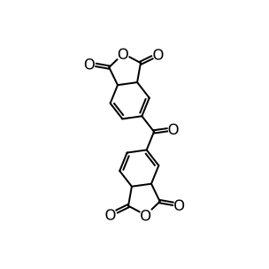 O=C(C1=CC2C(=O)OC(=O)C2C=C1)C1=CC2C(=O)OC(=O)C2C=C1